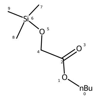 CCCCOC(=O)CO[Si](C)(C)C